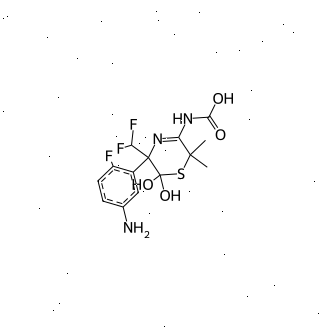 CC1(C)SC(O)(O)C(c2cc(N)ccc2F)(C(F)F)N=C1NC(=O)O